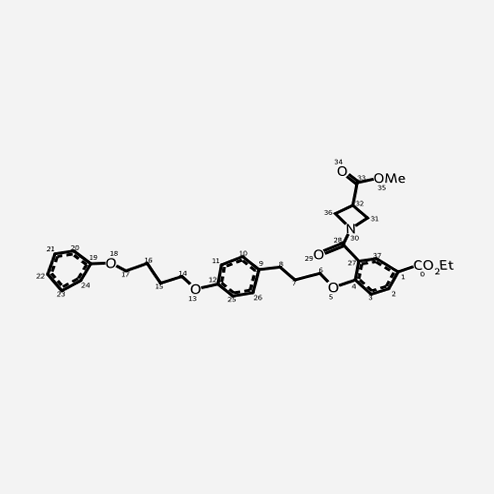 CCOC(=O)c1ccc(OCCCc2ccc(OCCCCOc3ccccc3)cc2)c(C(=O)N2CC(C(=O)OC)C2)c1